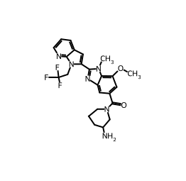 COc1cc(C(=O)N2CCCC(N)C2)cc2nc(-c3cc4cccnc4n3CC(F)(F)F)n(C)c12